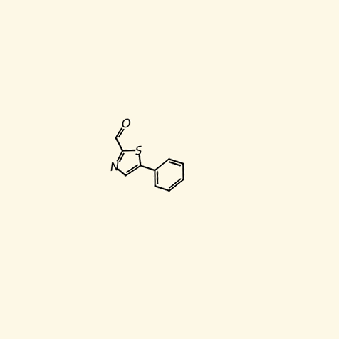 O=Cc1ncc(-c2ccccc2)s1